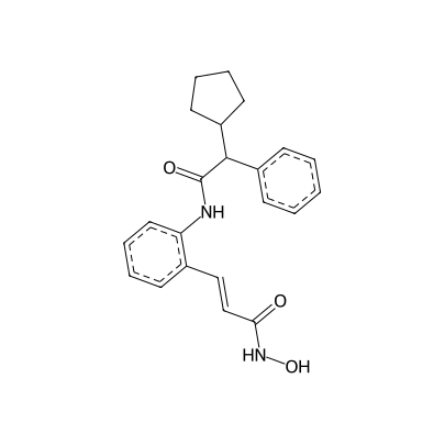 O=C(/C=C/c1ccccc1NC(=O)C(c1ccccc1)C1CCCC1)NO